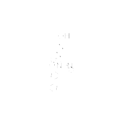 CON=C1C[C@@H](C(=O)N2CCN(CCO)CC2)N(C(=O)c2ccc(-c3ccccc3C)cc2C)C1